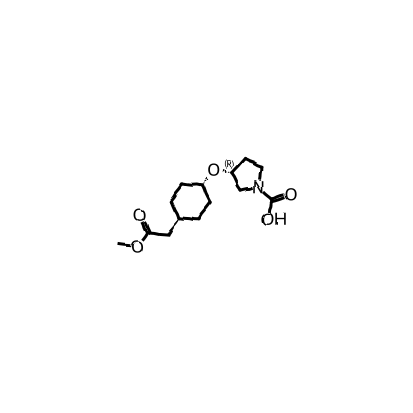 COC(=O)C[C@H]1CC[C@H](O[C@@H]2CCN(C(=O)O)C2)CC1